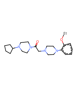 CCOc1ccccc1N1CCN(CC(=O)N2CCN(C3CCCC3)CC2)CC1